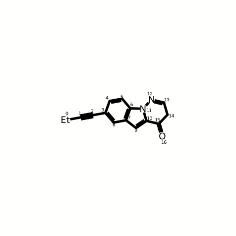 CCC#Cc1ccc2c(c1)cc1n2N=CCC1=O